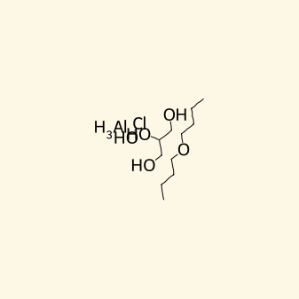 CCCCOCCCC.OCC(O)CO.OCl.[AlH3]